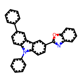 c1ccc(-c2ccc3c(c2)c2cc(-c4nc5ccccc5o4)ccc2n3-c2ccccc2)cc1